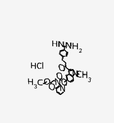 CCOC(=O)CN(C(=O)Oc1ccc2c(c1)c(C(=O)CCc1ccc(C(=N)N)cc1)cn2C)c1ccccn1.Cl